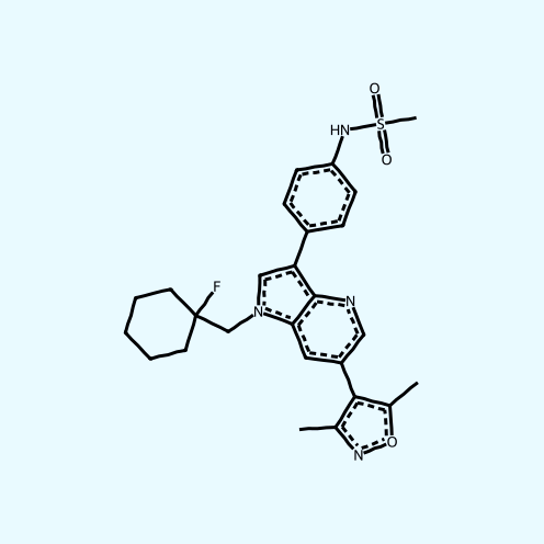 Cc1noc(C)c1-c1cnc2c(-c3ccc(NS(C)(=O)=O)cc3)cn(CC3(F)CCCCC3)c2c1